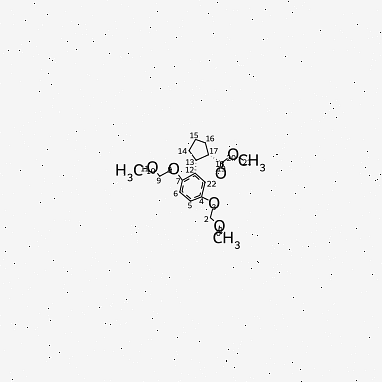 COCOc1ccc(OCOC)c([C@@H]2CCC[C@@H]2C(=O)OC)c1